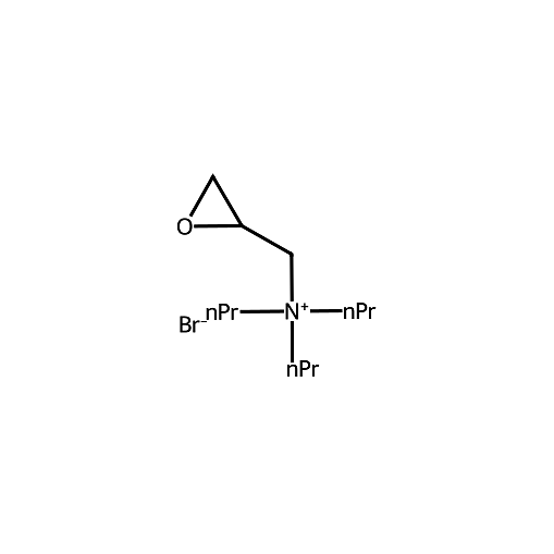 CCC[N+](CCC)(CCC)CC1CO1.[Br-]